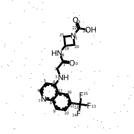 O=C(CNc1ccnc2ccc(C(F)(F)F)cc12)NC1CN(C(=O)O)C1